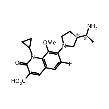 COc1c(N2CC[C@@H]([C@H](C)N)C2)c(F)cc2cc(C(=O)O)c(=O)n(C3CC3)c12